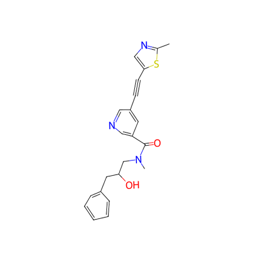 Cc1ncc(C#Cc2cncc(C(=O)N(C)CC(O)Cc3ccccc3)c2)s1